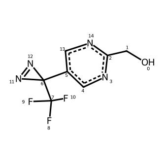 OCc1ncc(C2(C(F)(F)F)N=N2)cn1